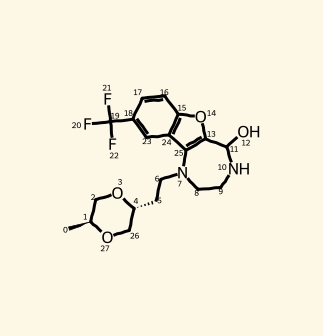 C[C@H]1CO[C@H](CCN2CCNC(O)c3oc4ccc(C(F)(F)F)cc4c32)CO1